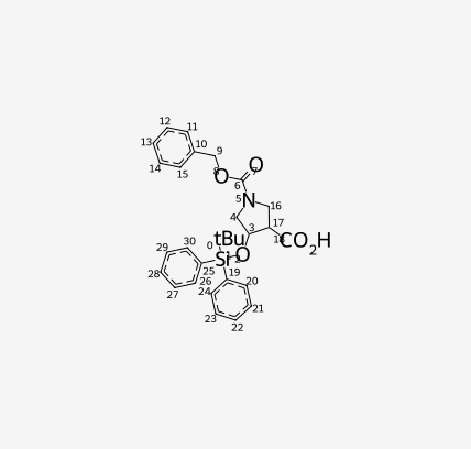 CC(C)(C)[Si](OC1CN(C(=O)OCc2ccccc2)CC1C(=O)O)(c1ccccc1)c1ccccc1